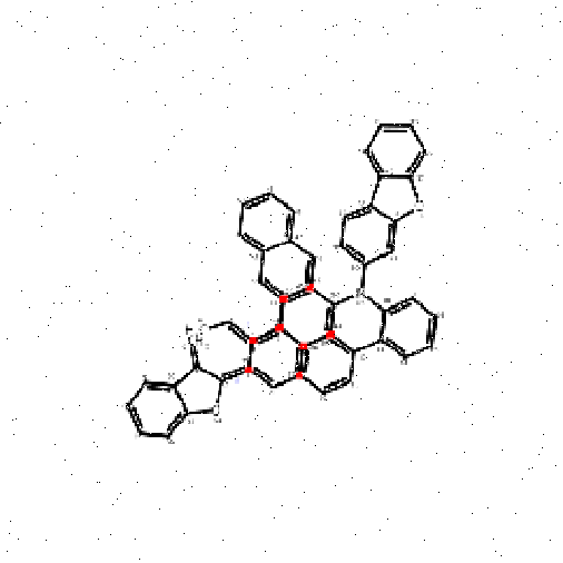 C=c1/c(=C\C(=C/C)N(c2cccc(-c3ccccc3N(c3ccc4ccccc4c3)c3ccc4c(c3)oc3ccccc34)c2)c2ccc3ccccc3c2)oc2ccccc12